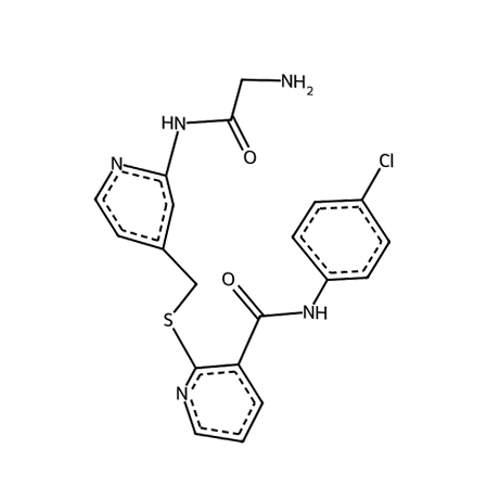 NCC(=O)Nc1cc(CSc2ncccc2C(=O)Nc2ccc(Cl)cc2)ccn1